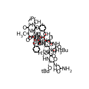 CC(C)C[C@@H](C(=O)N[C@@H](C)C(=O)N[C@H](C(=O)NC(Cc1ccccc1)C(=O)N[C@@H](CC(=O)O)C(=O)N(C)[C@@H](C)C(=O)N[C@@H](COC(C)(C)C)C(=O)NCC(N)=O)C(C)C)N(C)C(=O)CNC(=O)[C@H](Cc1ccccc1)N(C)C(=O)[C@H](C)NC(=O)CNC(=O)OC(C)(C)C